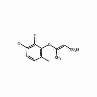 CCOC(=O)/C=C(\C)Oc1c(F)ccc(Cl)c1F